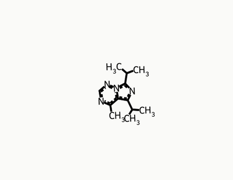 Cc1ncnn2c(C(C)C)nc(C(C)C)c12